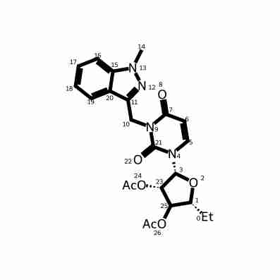 CC[C@H]1O[C@@H](n2ccc(=O)n(Cc3nn(C)c4ccccc34)c2=O)[C@@H](OC(C)=O)C1OC(C)=O